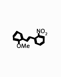 COc1ccccc1/C=C/c1ccccc1[N+](=O)[O-]